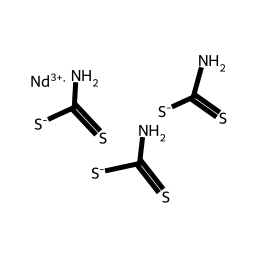 NC(=S)[S-].NC(=S)[S-].NC(=S)[S-].[Nd+3]